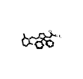 CC1CCCC(C)N1CCN1CCC(CC(N)=O)C1(c1ccccc1)c1ccccc1